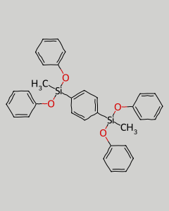 C[Si](Oc1ccccc1)(Oc1ccccc1)c1ccc([Si](C)(Oc2ccccc2)Oc2ccccc2)cc1